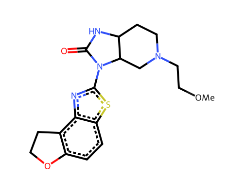 COCCN1CCC2NC(=O)N(c3nc4c5c(ccc4s3)OCC5)C2C1